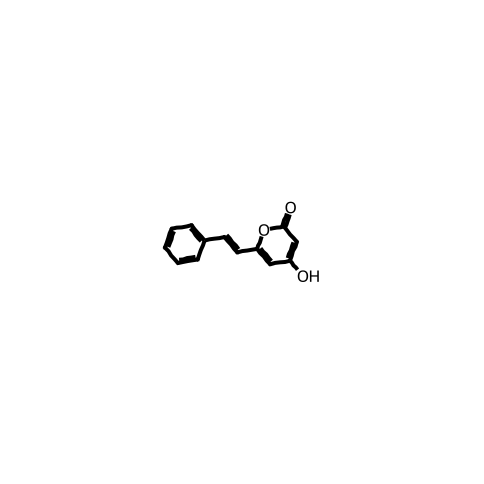 O=c1cc(O)cc(C=Cc2ccccc2)o1